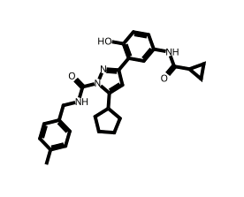 Cc1ccc(CNC(=O)n2nc(-c3cc(NC(=O)C4CC4)ccc3O)cc2C2CCCC2)cc1